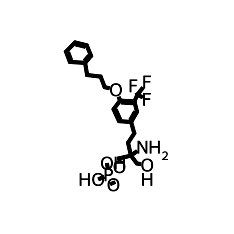 NC(CO)(CCc1ccc(OCCCc2ccccc2)c(C(F)(F)F)c1)COP(=O)(O)O